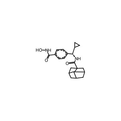 O=C(NO)c1ccc([C@H](NC(=O)C23CC4CC(CC(C4)C2)C3)C2CC2)cc1